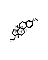 COc1ccc2c(c1)CC[C@@H]1[C@@H]2CC[C@]2(C)[C@H](C=O)CC[C@H]12